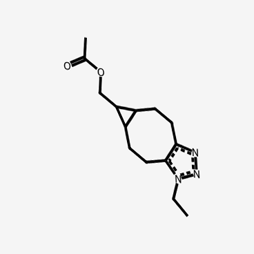 CCn1nnc2c1CCC1C(CC2)C1COC(C)=O